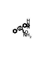 NC(=O)CCC1CN(c2ccccc2)CCN1c1ccc2[nH]cnc2c1